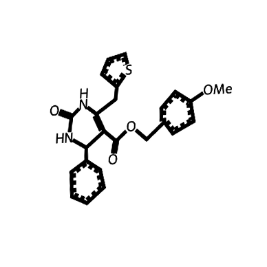 COc1ccc(COC(=O)C2=C(Cc3cccs3)NC(=O)NC2c2ccccc2)cc1